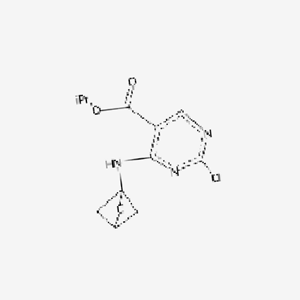 CC(C)OC(=O)c1cnc(Cl)nc1NC12CC(C1)C2